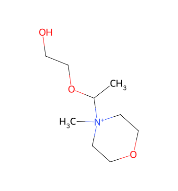 CC(OCCO)[N+]1(C)CCOCC1